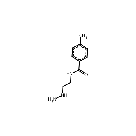 Cc1ccc(C(=O)NCCNN)cc1